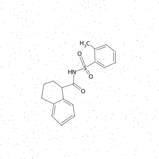 Cc1ccccc1S(=O)(=O)NC(=O)C1CCCc2ccccc21